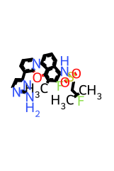 Cc1c(F)c(NS(=O)(=O)CCC(C)(C)F)c2ccccc2c1Oc1ncccc1-c1ccnc(N)n1